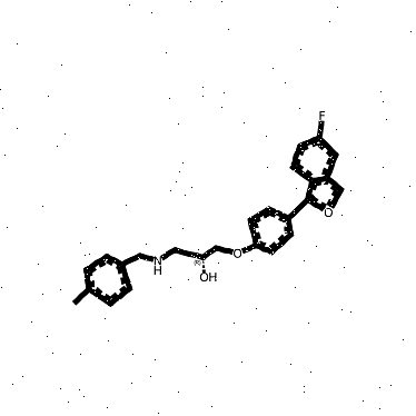 Cc1ccc(CNC[C@@H](O)COc2ccc(-c3occ4cc(F)ccc34)cc2)cc1